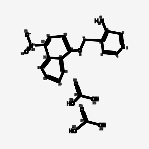 Nc1cnccc1COc1ccc([N+](=O)[O-])c2ccccc12.O=C(O)O.O=C(O)O